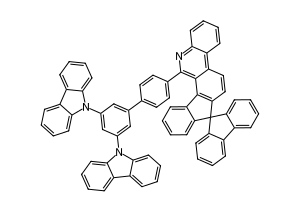 c1ccc2c(c1)-c1ccccc1C21c2ccccc2-c2c1ccc1c2c(-c2ccc(-c3cc(-n4c5ccccc5c5ccccc54)cc(-n4c5ccccc5c5ccccc54)c3)cc2)nc2ccccc21